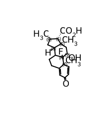 C[C@@H]1C[C@H]2C3CCC4=CC(=O)C=C[C@]4(C)[C@@]3(F)[C@@H](O)C[C@]2(C)[C@H]1C(=O)O